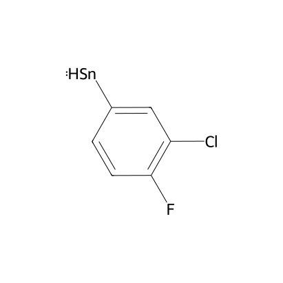 Fc1cc[c]([SnH])cc1Cl